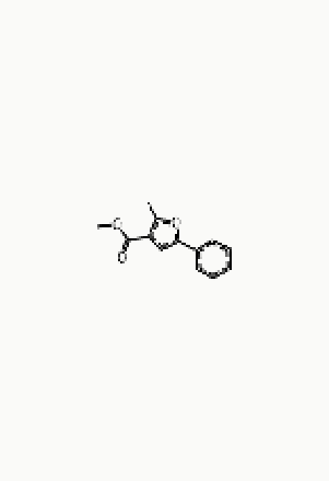 COC(=O)c1cc(-c2ccccc2)oc1C